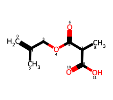 C=C(C)COC(=O)C(C)C(=O)O